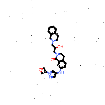 O=C1c2cc(Nc3cnn(C4COC4)c3)ccc2CCN1CC(O)CN1CCc2ccccc2C1